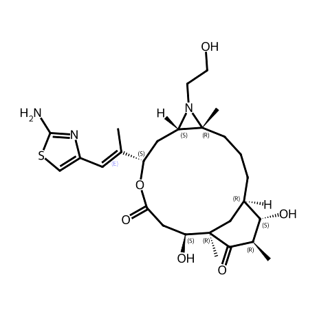 C/C(=C\c1csc(N)n1)[C@@H]1C[C@@H]2N(CCO)[C@]2(C)CCC[C@@H]2C[C@@](C)(C(=O)[C@H](C)[C@H]2O)[C@@H](O)CC(=O)O1